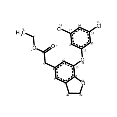 CCOC(=O)Cc1cc2c(c(Oc3cc(Cl)cc(Cl)c3)c1)OCC2